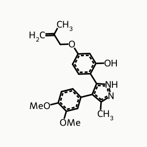 C=C(C)COc1ccc(-c2[nH]nc(C)c2-c2ccc(OC)c(OC)c2)c(O)c1